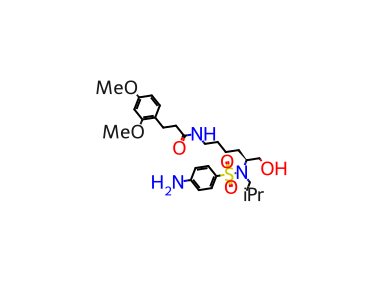 COc1ccc(CCC(=O)NCCCC[C@@H](CO)N(CC(C)C)S(=O)(=O)c2ccc(N)cc2)c(OC)c1